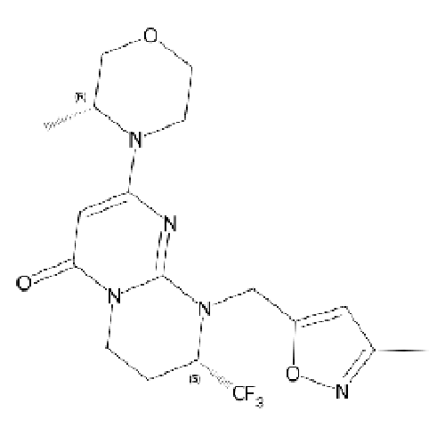 Cc1cc(CN2c3nc(N4CCOC[C@H]4C)cc(=O)n3CC[C@H]2C(F)(F)F)on1